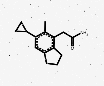 Cc1c(C2CC2)cc2c(c1CC(N)=O)CCC2